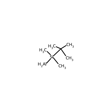 CC(C)(C)[Si](C)(C)[AlH2]